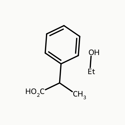 CC(C(=O)O)c1ccccc1.CCO